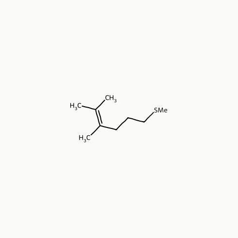 CSCCCC(C)=C(C)C